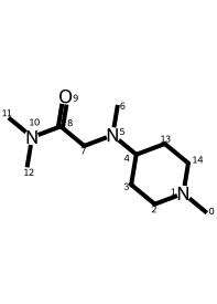 CN1CCC(N(C)CC(=O)N(C)C)CC1